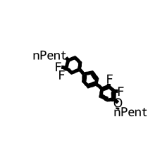 CCCCCOc1ccc(-c2ccc(C3CCC(CCCCC)C(F)(F)C3)cc2)c(F)c1F